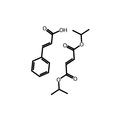 CC(C)OC(=O)C=CC(=O)OC(C)C.O=C(O)C=Cc1ccccc1